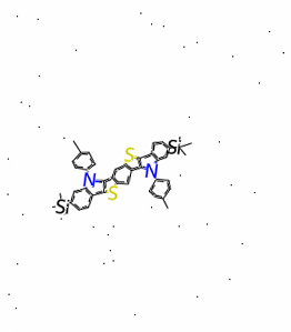 Cc1ccc(-n2c3cc([Si](C)(C)C)ccc3c3sc4cc5c(cc4c32)sc2c3ccc([Si](C)(C)C)cc3n(-c3ccc(C)cc3)c52)cc1